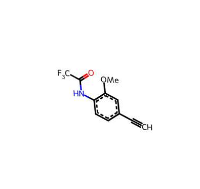 C#Cc1ccc(NC(=O)C(F)(F)F)c(OC)c1